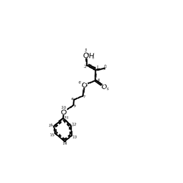 CC(=CO)C(=O)OCCCOc1ccccc1